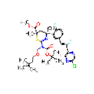 COC(=O)[C@]1(C)C[C@@](C)(c2cc(/C=C(\F)c3cnc(Cl)cn3)ccc2F)N=C(N(COCC[Si](C)(C)C)C(=O)OC(C)(C)C)S1